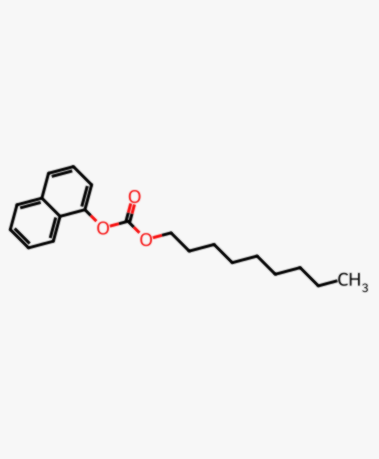 CCCCCCCCCOC(=O)Oc1cccc2ccccc12